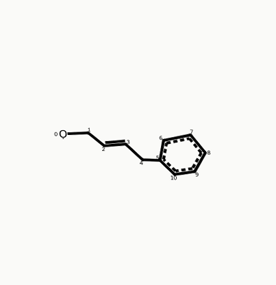 [O]CC=CCc1ccccc1